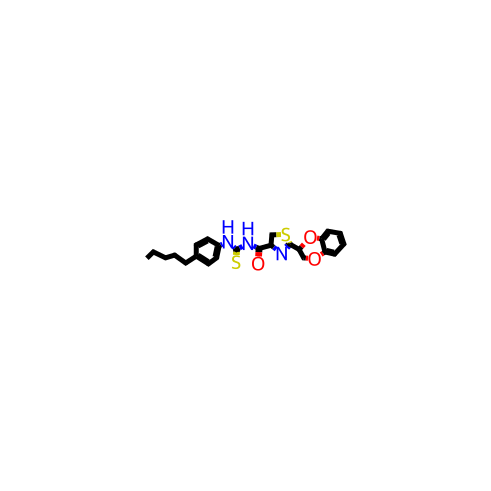 CCCCCc1ccc(NC(=S)NC(=O)C2CSC(C3COc4ccccc4O3)=N2)cc1